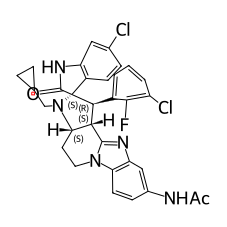 CC(=O)Nc1ccc2c(c1)nc1n2CC[C@H]2[C@@H]1[C@H](c1cccc(Cl)c1F)[C@]1(C(=O)Nc3cc(Cl)ccc31)N2CC1CC1